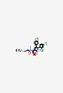 CC1(C)C=C(NC(=O)CCC(=O)O)c2cc(-c3ccc(Cl)cc3)c(-c3ccc(Cl)cc3Cl)nc2O1